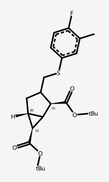 Cc1cc(SCC2C[C@@H]3C([C@@H]2C(=O)OC(C)(C)C)[C@H]3C(=O)OC(C)(C)C)ccc1F